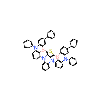 c1ccc(-c2ccc3c(c2)B2c4sc5c6c4N(c4ccccc4N6c4cccc6c4B5c4ccc(-c5ccccc5)cc4N6c4ccccc4)c4cccc(c42)N3c2ccccc2)cc1